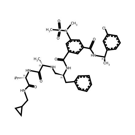 CC(C)[C@H](NC(=O)[C@H](C)NC[C@H](Cc1ccccc1)NC(=O)c1cc(C(=O)N[C@H](C)c2cccc(Cl)c2)cc(N(C)S(C)(=O)=O)c1)C(=O)NCC1CC1